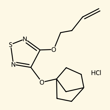 C=CCCOc1nsnc1OC12CCC(CC1)C2.Cl